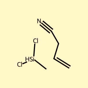 C=CCC#N.C[SiH](Cl)Cl